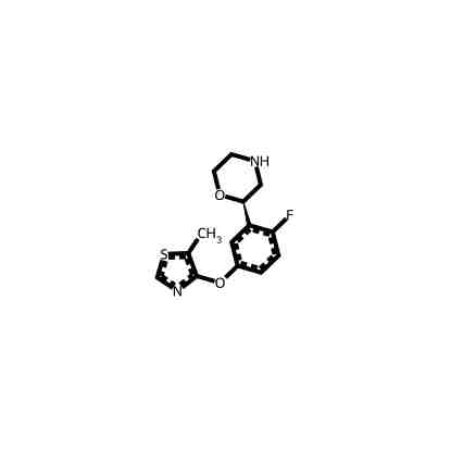 Cc1scnc1Oc1ccc(F)c([C@@H]2CNCCO2)c1